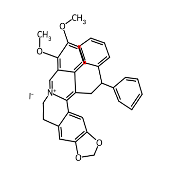 COc1ccc2c(CC(c3ccccc3)c3ccccc3)c3[n+](cc2c1OC)CCc1cc2c(cc1-3)OCO2.[I-]